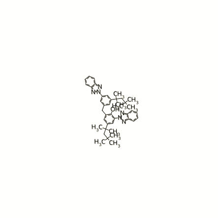 CC(C)(C)CC(C)(C)c1cc(Cc2cc(C(C)(C)CC(C)(C)C)cc(-n3nc4ccccc4n3)c2O)cc(-n2nc3ccccc3n2)c1